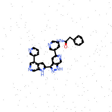 O=C(Cc1ccccc1)Nc1cncc(-c2cc3c(-c4cc5c(-c6cccnc6)cncc5[nH]4)n[nH]c3cn2)c1